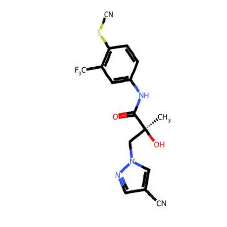 C[C@](O)(Cn1cc(C#N)cn1)C(=O)Nc1ccc(SC#N)c(C(F)(F)F)c1